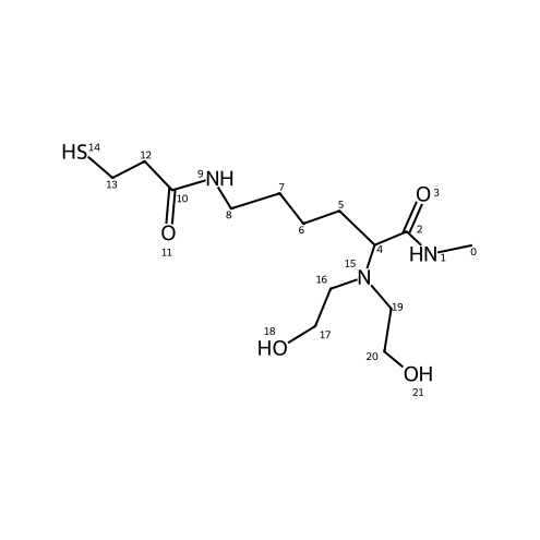 CNC(=O)C(CCCCNC(=O)CCS)N(CCO)CCO